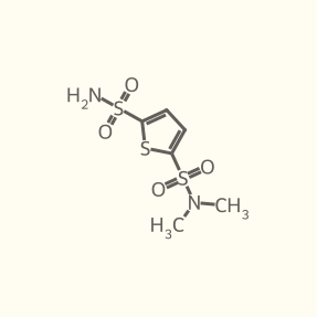 CN(C)S(=O)(=O)c1ccc(S(N)(=O)=O)s1